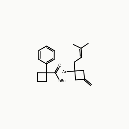 C=C1CC(CC=C(C)C)(C(C)=O)C1.CCCCC(=O)C1(c2ccccc2)CCC1